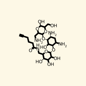 C#CCCCC(=O)NCC1O[C@H](O[C@@H]2C(N)C[C@@H](N)[C@@H](O[C@@H]3OC(CO)[C@H](O)OC3CN)C2O)C(O)C(O)[C@@H]1O